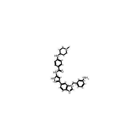 CN1CCC(Nc2ccc(C(=O)Nc3cc(-c4ccc5ncn(Cc6cccc(N)c6)c5c4)n[nH]3)cc2)CC1